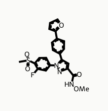 CONC(=O)c1cc(-c2ccc(-c3ccco3)cc2)n(-c2ccc(S(C)(=O)=O)c(F)c2)n1